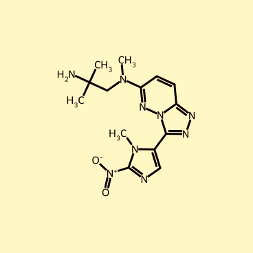 CN(CC(C)(C)N)c1ccc2nnc(-c3cnc([N+](=O)[O-])n3C)n2n1